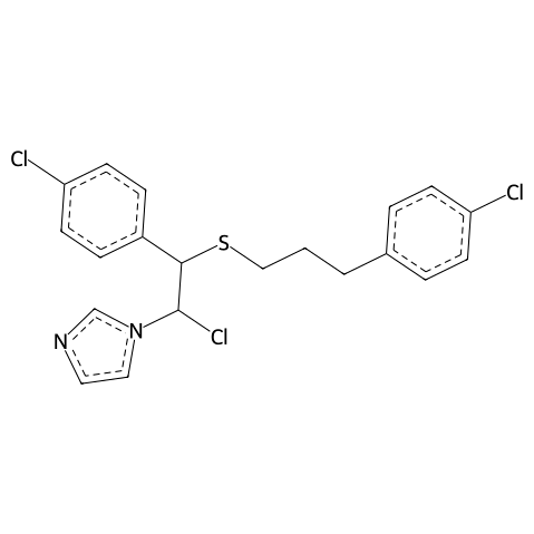 Clc1ccc(CCCSC(c2ccc(Cl)cc2)C(Cl)n2ccnc2)cc1